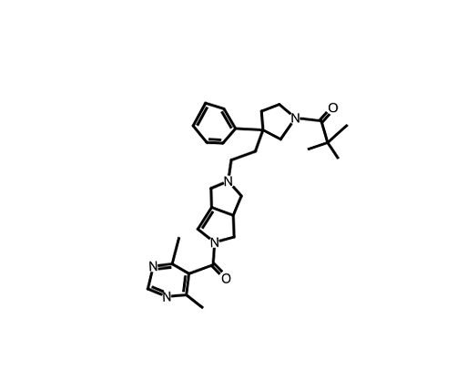 Cc1ncnc(C)c1C(=O)N1C=C2CN(CCC3(c4ccccc4)CCN(C(=O)C(C)(C)C)C3)CC2C1